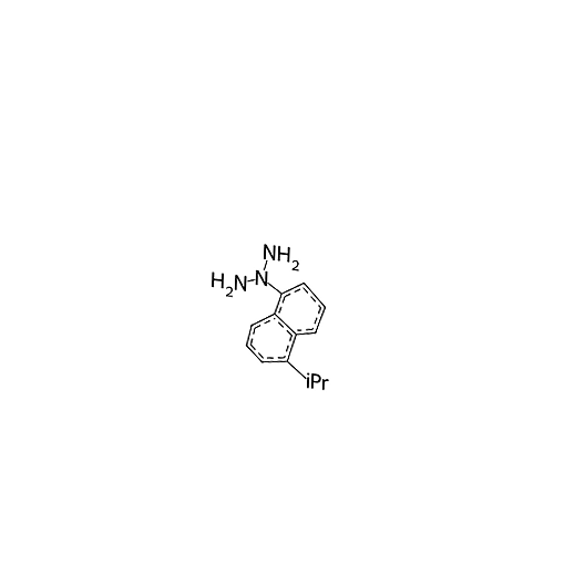 CC(C)c1cccc2c(N(N)N)cccc12